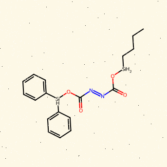 CCCC[SiH2]OC(=O)N=NC(=O)O[SiH](c1ccccc1)c1ccccc1